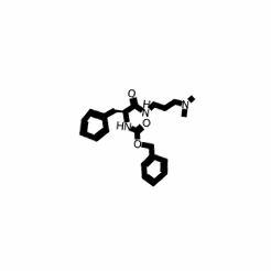 CN(C)CCCNC(=O)[C@H](Cc1ccccc1)NC(=O)OCc1ccccc1